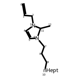 C=CCN1C=CN(CCCCCCCCCC)C1C